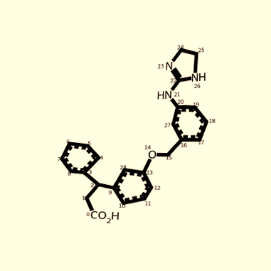 O=C(O)CC(c1ccccc1)c1cccc(OCc2cccc(NC3=NCCN3)c2)c1